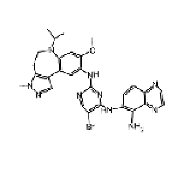 COc1cc2c(cc1Nc1ncc(Br)c(Nc3ccc4nccnc4c3N)n1)-c1cnn(C)c1CCN2C(C)C